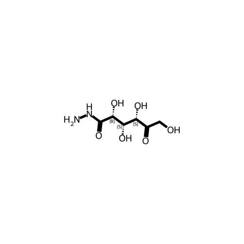 NNC(=O)[C@H](O)[C@@H](O)[C@H](O)C(=O)CO